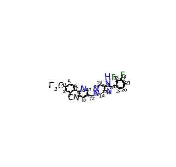 N#Cc1cc(C(F)(F)F)ccc1-c1ccc(CN2Cc3nc(-c4cccc(F)c4F)[nH]c3C=N2)cn1